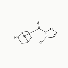 O=C(c1occc1Cl)N1CC2CCC(C1)NC2